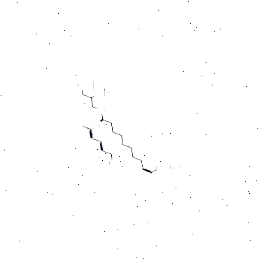 C/C=C/C=C/CO.CCCCCCCC/C=C\CCCCCCCC(=O)OCC(O)CO